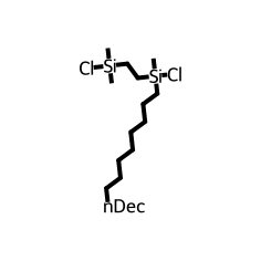 CCCCCCCCCCCCCCCCCC[Si](C)(Cl)CC[Si](C)(C)Cl